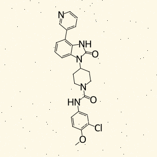 COc1ccc(NC(=O)N2CCC(n3c(=O)[nH]c4c(-c5cccnc5)cccc43)CC2)cc1Cl